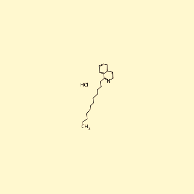 CCCCCCCCCCCCc1nccc2ccccc12.Cl